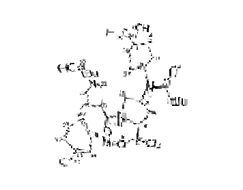 COC(=O)[C@@H]1C[C@H](N(C(=O)C(C)(C)C)C2CCC(C)(C)CC2)CN1C(=O)[C@@H]1CN(C(C)(C)C)C[C@H]1c1ccc(Cl)cc1.Cl